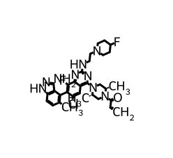 C=CC(=O)N1C[C@H](C)N(c2nc(NCCN3CCC(F)CC3)nc3c(F)c(-c4c(C)ccc5[nH]nc(N)c45)c(Cl)cc23)C[C@H]1C